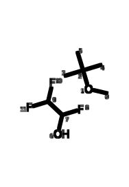 COC(C)(C)C.OC(F)C(F)F